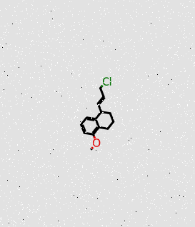 COc1cccc2c1CCCC2C=CCCl